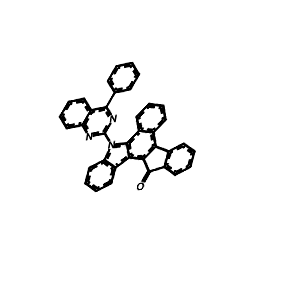 O=C1c2ccccc2-c2c1c1c3ccccc3n(-c3nc(-c4ccccc4)c4ccccc4n3)c1c1ccccc21